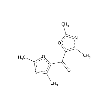 Cc1nc(C)c(C(=O)c2oc(C)nc2C)o1